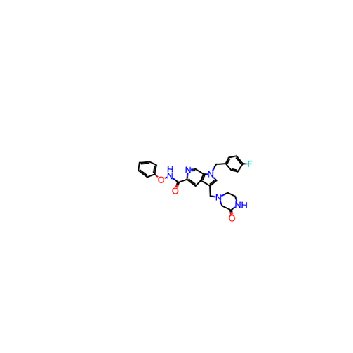 O=C1CN(Cc2cn(Cc3ccc(F)cc3)c3cnc(C(=O)NOc4ccccc4)cc23)CCN1